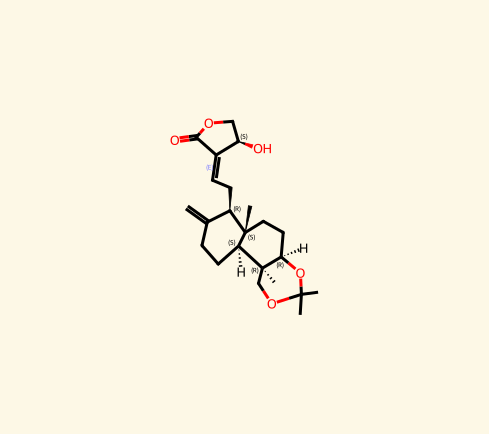 C=C1CC[C@@H]2[C@]3(C)COC(C)(C)O[C@@H]3CC[C@@]2(C)[C@@H]1C/C=C1/C(=O)OC[C@H]1O